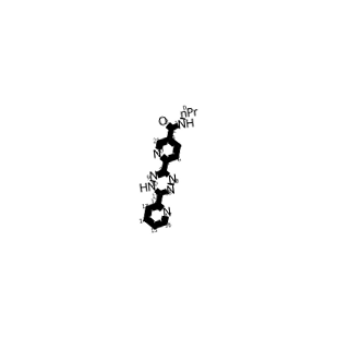 CCCNC(=O)c1ccc(C2=NNC(c3ccccn3)N=N2)nc1